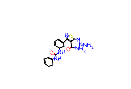 NN=Nc1snc(C2=CC=CC(NC(=O)NC3=CC=CCC3)C2)c1C(N)=O